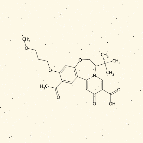 COCCCOc1cc2c(cc1C(C)=O)-c1cc(=O)c(C(=O)O)cn1C(C(C)(C)C)CO2